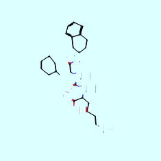 NCCCCC(NC(=O)N[C@H](CC1CCCCC1)C(=O)NC1CCc2ccccc2C1)C(=O)O